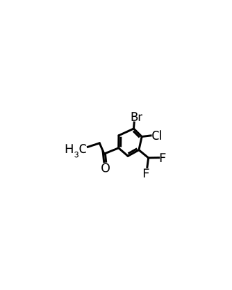 CCC(=O)c1cc(Br)c(Cl)c(C(F)F)c1